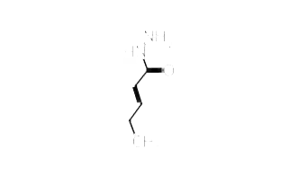 CCC=CC(=O)NN